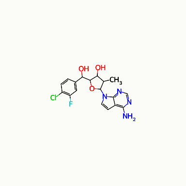 CC1C(O)C(C(O)c2ccc(Cl)c(F)c2)OC1n1ccc2c(N)ncnc21